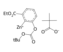 CC(C)(C)C(=O)[O-].CCOC(=O)c1cccc(OC(=O)OC(C)(C)C)[c]1[Zn+]